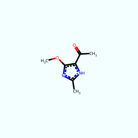 COc1nc(C)[nH]c1C(C)=O